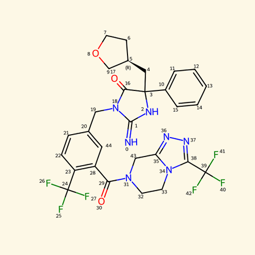 N=C1NC(C[C@@H]2CCOC2)(c2ccccc2)C(=O)N1Cc1ccc(C(F)(F)F)c(C(=O)N2CCn3c(nnc3C(F)(F)F)C2)c1